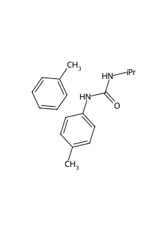 Cc1ccc(NC(=O)NC(C)C)cc1.Cc1ccccc1